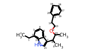 CCc1cccc2c(C(C)C(C)OCCc3ccccc3)c[nH]c12